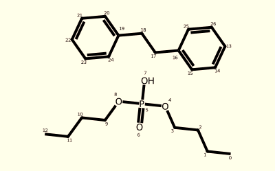 CCCCOP(=O)(O)OCCCC.c1ccc(CCc2ccccc2)cc1